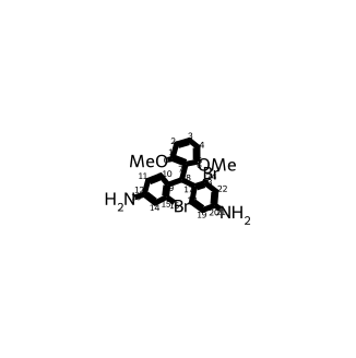 COc1cccc(OC)c1C(c1ccc(N)cc1Br)c1ccc(N)cc1Br